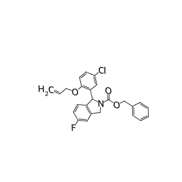 C=CCOc1ccc(Cl)cc1C1c2ccc(F)cc2CN1C(=O)OCc1ccccc1